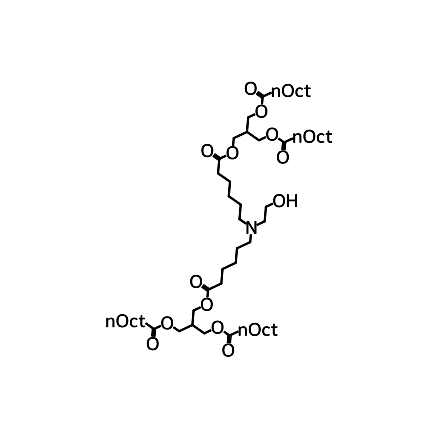 CCCCCCCCC(=O)OCC(COC(=O)CCCCCCCC)COC(=O)CCCCCN(CCO)CCCCCC(=O)OCC(COC(=O)CCCCCCCC)COC(=O)CCCCCCCC